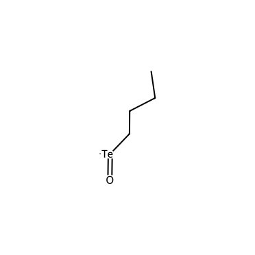 CCCC[Te]=O